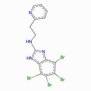 Brc1c(Br)c(Br)c2[nH]c(NCCc3ccccn3)nc2c1Br